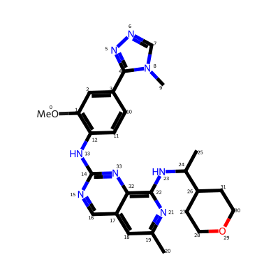 COc1cc(-c2nncn2C)ccc1Nc1ncc2cc(C)nc(NC(C)C3CCOCC3)c2n1